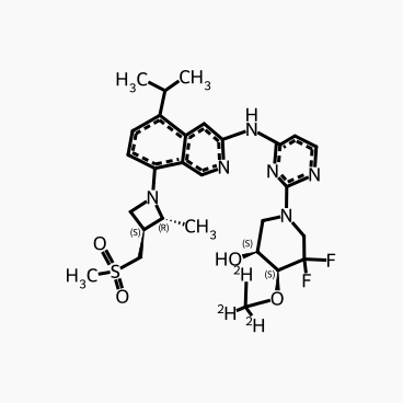 [2H]C([2H])([2H])O[C@H]1[C@@H](O)CN(c2nccc(Nc3cc4c(C(C)C)ccc(N5C[C@H](CS(C)(=O)=O)[C@H]5C)c4cn3)n2)CC1(F)F